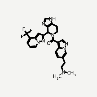 CN(C)CCc1ccc2c(C(=O)N3CCc4[nH]cnc4C3c3cc4c(C(F)(F)F)cccn4n3)cnn2c1